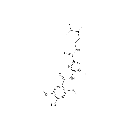 COc1cc(C(=O)Nc2nc(C(=O)NCCN(C)C(C)C)cs2)c(OC)cc1O.Cl